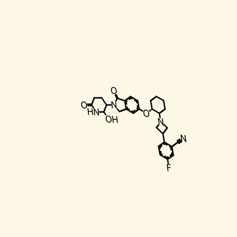 N#Cc1cc(F)ccc1C1CN(C2CCCC[C@@H]2Oc2ccc3c(c2)CN(C2CCC(=O)NC2O)C3=O)C1